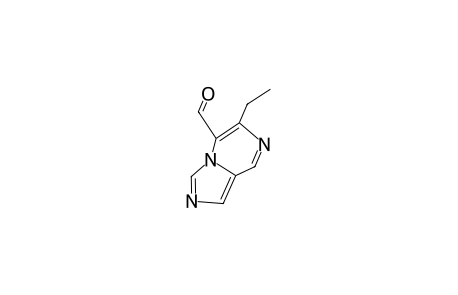 CCc1ncc2cncn2c1C=O